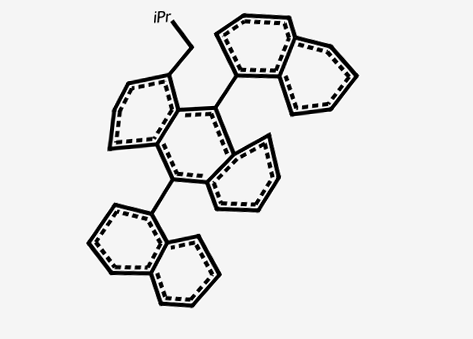 CC(C)Cc1cccc2c(-c3cccc4ccccc34)c3ccccc3c(-c3cccc4ccccc34)c12